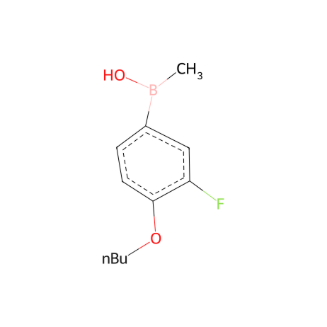 CCCCOc1ccc(B(C)O)cc1F